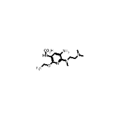 CN(C)CCN(C)c1nc(OCC(F)(F)F)c(NC(=O)O)cc1N